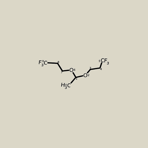 CC(OCCC(F)(F)F)OCCC(F)(F)F